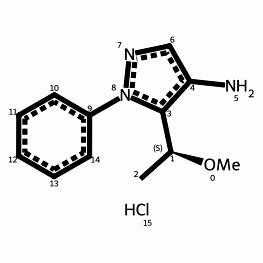 CO[C@@H](C)c1c(N)cnn1-c1ccccc1.Cl